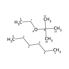 CCCCCC.CCOC(C)(C)C